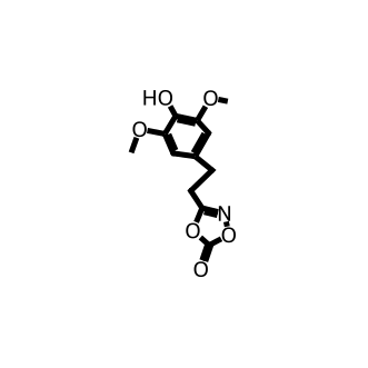 COc1cc(CCc2noc(=O)o2)cc(OC)c1O